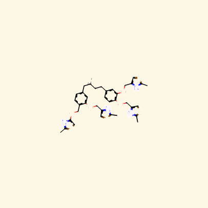 Cc1nc(COc2cc(C[C@@H](C)[C@@H](C)Cc3ccc(OCc4csc(C)n4)c(OCc4csc(C)n4)c3)ccc2COc2csc(C)n2)cs1